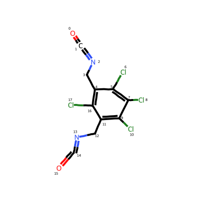 O=C=NCc1c(Cl)c(Cl)c(Cl)c(CN=C=O)c1Cl